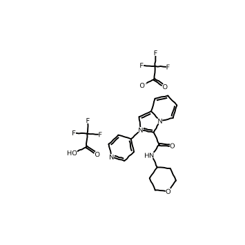 O=C(NC1CCOCC1)c1n2ccccc2c[n+]1-c1ccncc1.O=C(O)C(F)(F)F.O=C([O-])C(F)(F)F